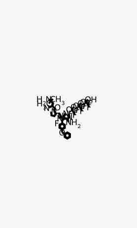 CC(C)(N)C=C(C#N)C(=O)N1CCC[C@@H]1Cn1nc(-c2ccc(Oc3ccccc3)cc2F)c2c(N)ncnc21.O=C(O)C(F)(F)F.O=C(O)C(F)(F)F.O=C(O)C(F)(F)F